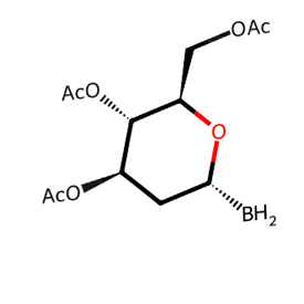 B[C@@H]1C[C@@H](OC(C)=O)[C@H](OC(C)=O)[C@@H](COC(C)=O)O1